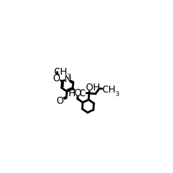 CCCC(C)(O)C1CCCCC1COc1cnc(OC)cc1C=O